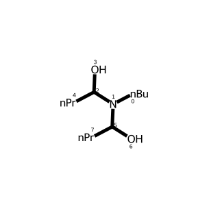 CCCCN(C(O)CCC)C(O)CCC